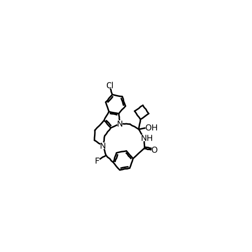 O=C1NC(O)(C2CCC2)Cn2c3c(c4cc(Cl)ccc42)CCN(C3)C(F)c2ccc1cc2